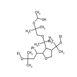 CCOC(C)(C)CC(C(C)C)C1OCC(C(C)(C)OCC)C1C(C)(C)OCC(C)(C)OC(C)O